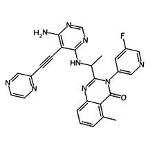 Cc1cccc2nc(C(C)Nc3ncnc(N)c3C#Cc3cnccn3)n(-c3cncc(F)c3)c(=O)c12